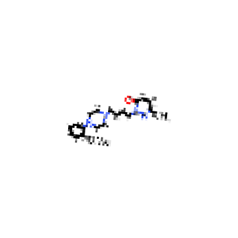 COc1ccccc1N1CCN(CCCCn2nc(C)ccc2=O)CC1